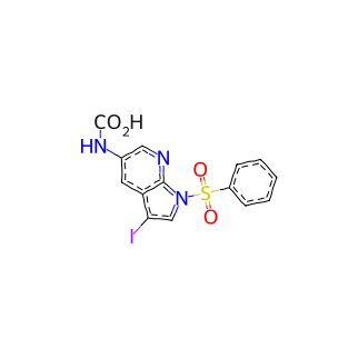 O=C(O)Nc1cnc2c(c1)c(I)cn2S(=O)(=O)c1ccccc1